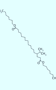 CCCCCCCOC(=O)CCCCCCCCCCCCC(CCC(=O)OCCCCCCC)C(C)C